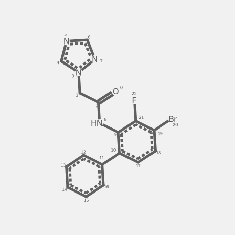 O=C(Cn1cncn1)Nc1c(-c2ccccc2)ccc(Br)c1F